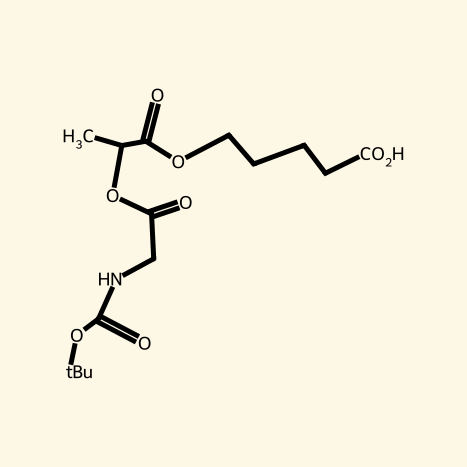 CC(OC(=O)CNC(=O)OC(C)(C)C)C(=O)OCCCCC(=O)O